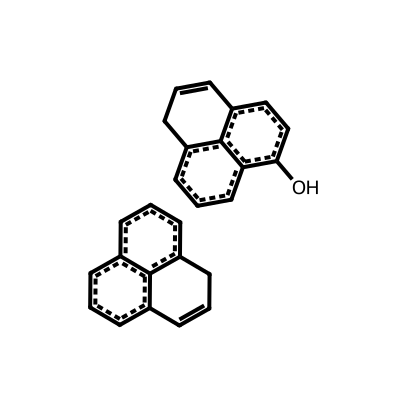 C1=Cc2cccc3cccc(c23)C1.Oc1ccc2c3c(cccc13)CC=C2